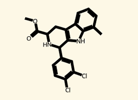 COC(=O)C1Cc2c([nH]c3c(C)cccc23)C(c2ccc(Cl)c(Cl)c2)N1